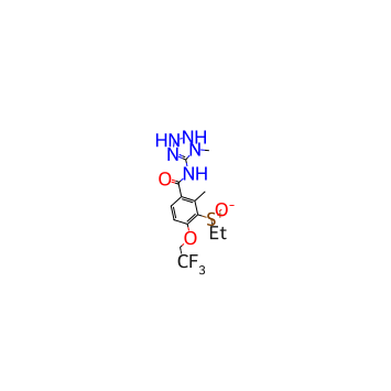 CC[S+]([O-])c1c(OCC(F)(F)F)ccc(C(=O)NC2=NNNN2C)c1C